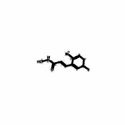 CC1C=C(/C=C/C(=O)NO)C(Br)=CC1